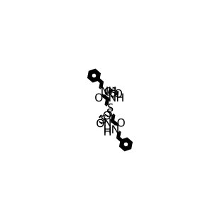 CS(=O)(=O)NC(CSSCC(NS(C)(=O)=O)C(=O)NCCc1ccccc1)C(=O)NCCc1ccccc1